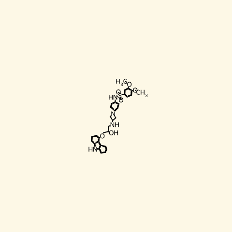 COc1ccc(S(=O)(=O)Nc2ccc(N3CC(NCC(O)COc4cccc5[nH]c6ccccc6c45)C3)cc2)cc1OC